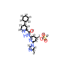 Cc1cn(-c2cc(COS(C)(=O)=O)cc(NC(=O)c3cc(-c4ccccc4)ccn3)n2)cn1